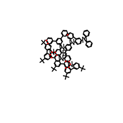 CC(C)(C)c1cc(-c2ccccc2)c(N2c3cc(-n4c5ccc(C(C)(C)C)cc5c5cc(C(C)(C)C)ccc54)ccc3B3c4ccc(-n5c6ccccc6c6cc(N(c7ccccc7)c7ccccc7)ccc65)cc4N(c4cc(-c5ccccc5)cc(-c5ccccc5)c4)c4cc(-n5c6ccc(C(C)(C)C)cc6c6cc(C(C)(C)C)ccc65)cc2c43)c(-c2ccccc2)c1